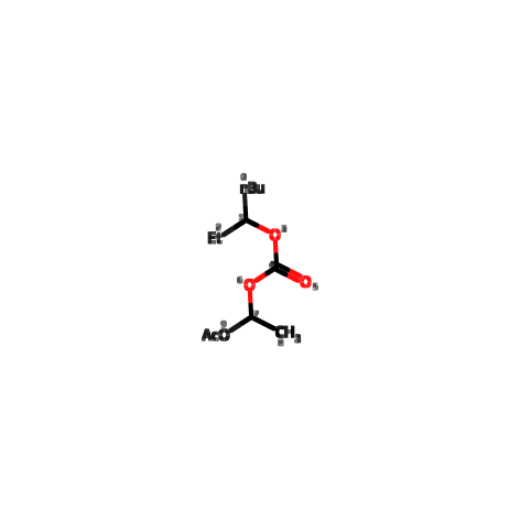 CCCCC(CC)OC(=O)OC(C)OC(C)=O